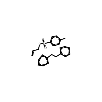 C=CCOS(=O)(=O)c1ccc(C)cc1.c1ccc(CCc2ccccc2)cc1